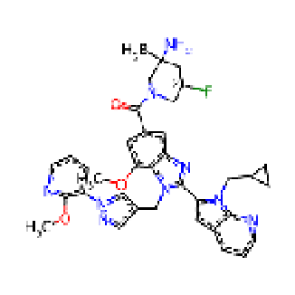 BC1(N)C[C@@H](F)CN(C(=O)c2cc(OC)c3c(c2)nc(-c2cc4cccnc4n2CC2CC2)n3Cc2cnn(-c3cccnc3OC)c2)C1